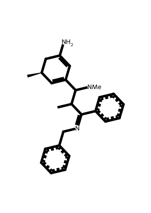 CNC(C1=C[C@@H](C)CC(N)=C1)C(C)/C(=N\Cc1ccccc1)c1ccccc1